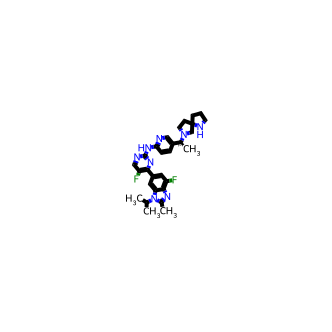 Cc1nc2c(F)cc(-c3nc(Nc4ccc([C@H](C)N5CCC6(CCCN6)C5)cn4)ncc3F)cc2n1C(C)C